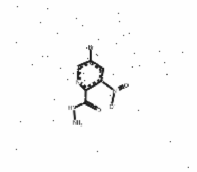 NNC(=O)c1ncc(Br)cc1[N+](=O)[O-]